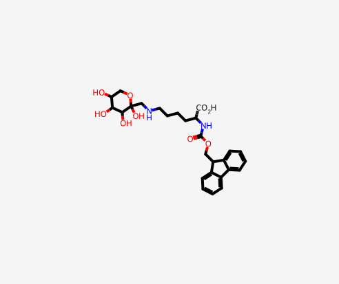 O=C(NC(CCCCNCC1(O)OCC(O)C(O)C1O)C(=O)O)OCC1c2ccccc2-c2ccccc21